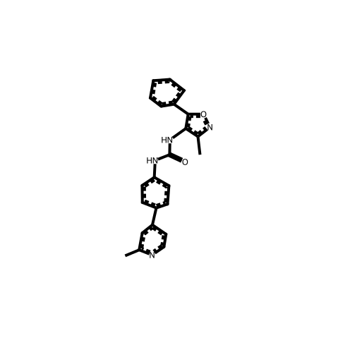 Cc1cc(-c2ccc(NC(=O)Nc3c(C)noc3-c3ccccc3)cc2)ccn1